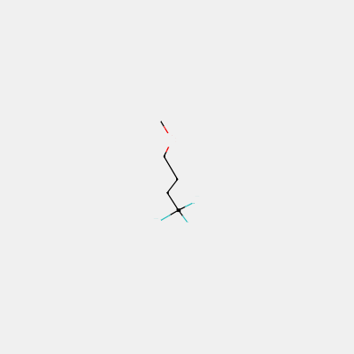 COCCCC(F)(F)F